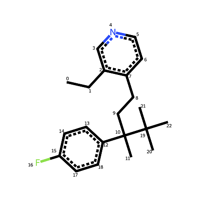 CCc1cnccc1CCC(C)(c1ccc(F)cc1)C(C)(C)C